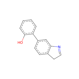 Oc1ccccc1-c1ccc2c(c1)N=CC2